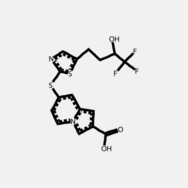 O=C(O)c1cc2cc(Sc3ncc(CCC(O)C(F)(F)F)s3)ccn2c1